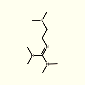 CN(C)CCN=C(N(C)C)N(C)C